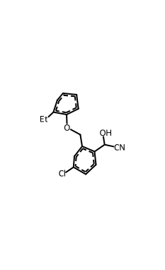 CCc1ccccc1OCc1cc(Cl)ccc1C(O)C#N